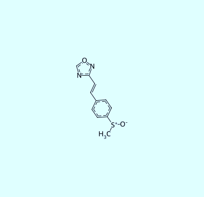 C[S+]([O-])c1ccc(/C=C/c2ncon2)cc1